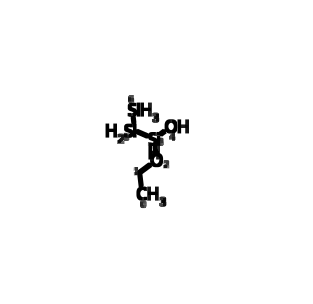 CCO[SiH](O)[SiH2][SiH3]